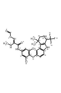 CN/C(=N\OC=O)C(=O)Nc1cc(Cl)c(Oc2ccc3[nH]c4c(c3c2)C(C)(C)CNC4C(F)(F)F)c(Cl)c1